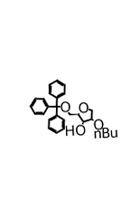 CCCCO[C@@H]1CO[C@H](COC(c2ccccc2)(c2ccccc2)c2ccccc2)[C@@H]1O